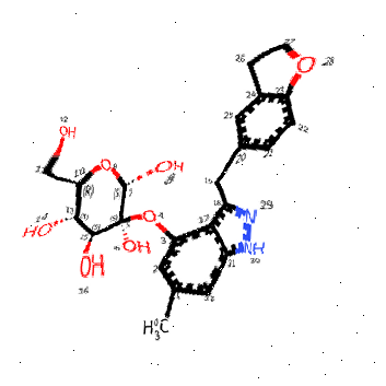 Cc1cc(O[C@]2(O)[C@@H](O)O[C@H](CO)[C@@H](O)[C@@H]2O)c2c(Cc3ccc4c(c3)CCO4)n[nH]c2c1